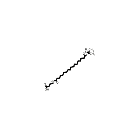 CC(C)(C)OC(=O)CCCCCCCCCCCCCCCCC(=O)NCCCC(=O)O